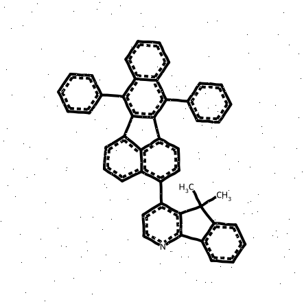 CC1(C)c2ccccc2-c2nccc(-c3ccc4c5c(cccc35)-c3c-4c(-c4ccccc4)c4ccccc4c3-c3ccccc3)c21